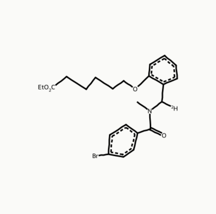 [2H]C(c1ccccc1OCCCCCC(=O)OCC)N(C)C(=O)c1ccc(Br)cc1